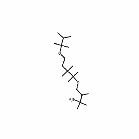 BC(C)(C)C(C)COC(C)(C)C(C)(C)CCOC(C)(C)C(C)C